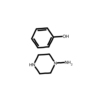 NN1CCNCC1.Oc1ccccc1